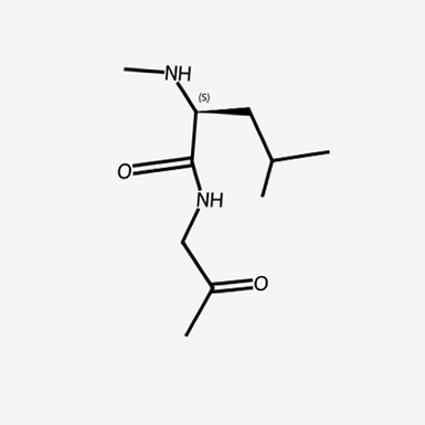 CN[C@@H](CC(C)C)C(=O)NCC(C)=O